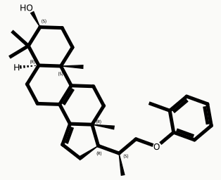 Cc1ccccc1OC[C@@H](C)[C@H]1CC=C2C3=C(CC[C@@]21C)[C@@]1(C)CC[C@H](O)C(C)(C)[C@@H]1CC3